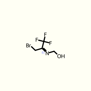 OC/N=C(/CBr)C(F)(F)F